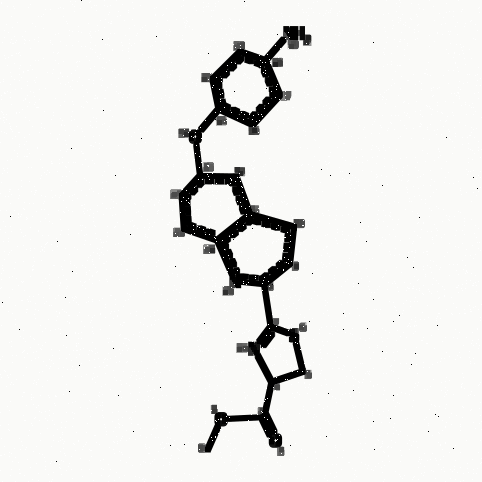 COC(=O)C1CSC(c2ccc3cc(Oc4ccc(N)cc4)ccc3n2)=N1